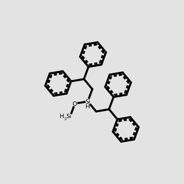 [SiH3]O[SiH](CC(c1ccccc1)c1ccccc1)CC(c1ccccc1)c1ccccc1